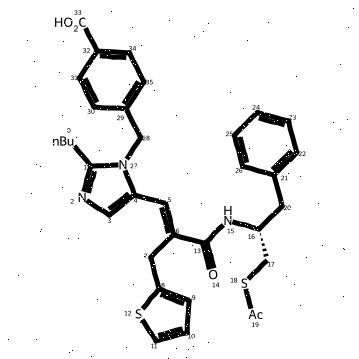 CCCCc1ncc(C=C(Cc2cccs2)C(=O)N[C@@H](CSC(C)=O)Cc2ccccc2)n1Cc1ccc(C(=O)O)cc1